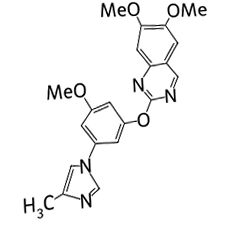 COc1cc(Oc2ncc3cc(OC)c(OC)cc3n2)cc(-n2cnc(C)c2)c1